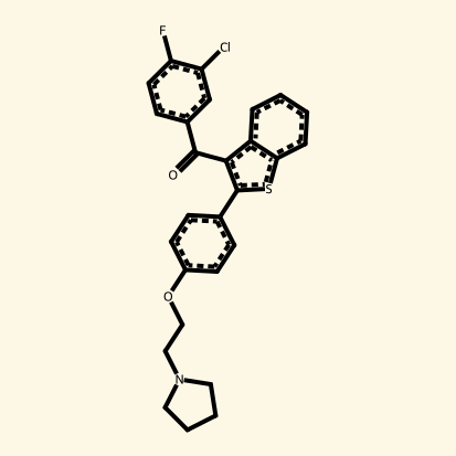 O=C(c1ccc(F)c(Cl)c1)c1c(-c2ccc(OCCN3CCCC3)cc2)sc2ccccc12